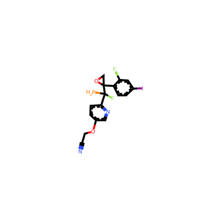 N#CCOc1ccc(C(F)(P)C2(c3ccc(I)cc3F)CO2)nc1